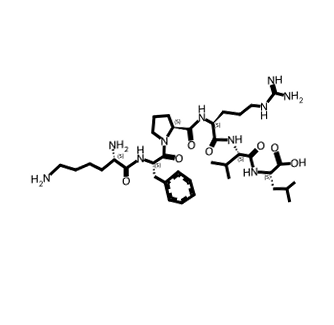 CC(C)C[C@H](NC(=O)[C@@H](NC(=O)[C@H](CCCNC(=N)N)NC(=O)[C@@H]1CCCN1C(=O)[C@H](Cc1ccccc1)NC(=O)[C@@H](N)CCCCN)C(C)C)C(=O)O